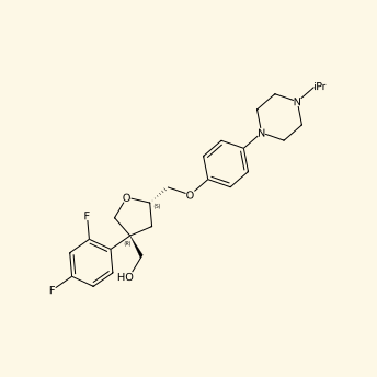 CC(C)N1CCN(c2ccc(OC[C@@H]3C[C@](CO)(c4ccc(F)cc4F)CO3)cc2)CC1